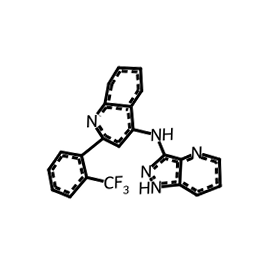 FC(F)(F)c1ccccc1-c1cc(Nc2n[nH]c3cccnc23)c2ccccc2n1